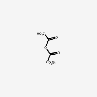 CCOC(=O)C(=O)OC(=O)C(=O)O